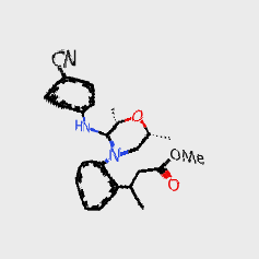 COC(=O)CC(C)c1ccccc1N1C[C@@H](C)O[C@@H](C)C1Nc1ccc(C#N)cc1